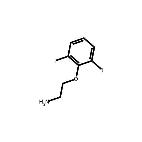 NCCOc1c(I)c[c]cc1I